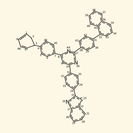 C1=CCC(c2ccc(-c3cc(-c4ccc(-c5nc6ccccc6s5)cc4)nc(-c4ccc(-c5cccc6ccccc56)cc4)n3)cc2)C=C1